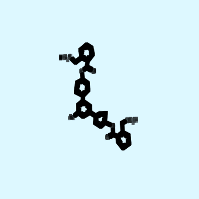 CC(=O)c1cc(-c2ccc(OC(=O)c3ccccc3CC(=O)O)cc2)cc(-c2ccc(OC(=O)c3ccccc3CC(=O)O)cc2)c1